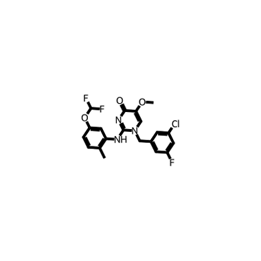 COc1cn(Cc2cc(F)cc(Cl)c2)c(Nc2cc(OC(F)F)ccc2C)nc1=O